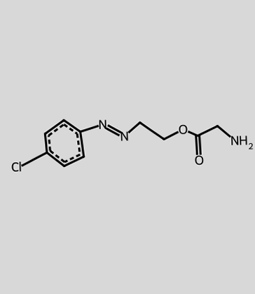 NCC(=O)OCCN=Nc1ccc(Cl)cc1